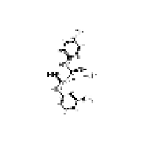 Cl.N=C(NC(=N)Nc1cccc(C(F)(F)F)c1)Nc1ccc(Cl)cc1